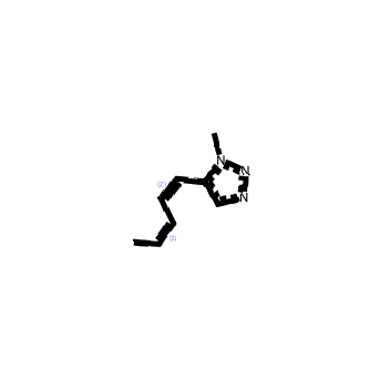 C/C=C\C=C/c1cnnn1C